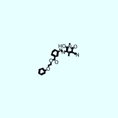 Cc1c(/N=N/c2cccc(C(=O)OCCOc3ccccc3)c2)c(O)n(C)c(=O)c1C#N